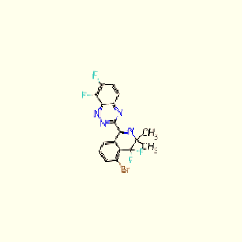 CC1(C)N=C(c2nnc3c(F)c(F)ccc3n2)c2cccc(Br)c2C1(F)F